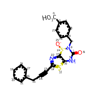 O=C(O)c1ccc(CN2C(=O)Nc3sc(C#CCc4ccccc4)nc3[S+]2[O-])cc1